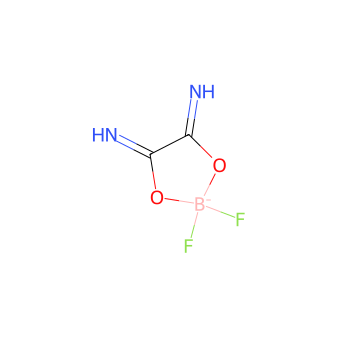 N=C1O[B-](F)(F)OC1=N